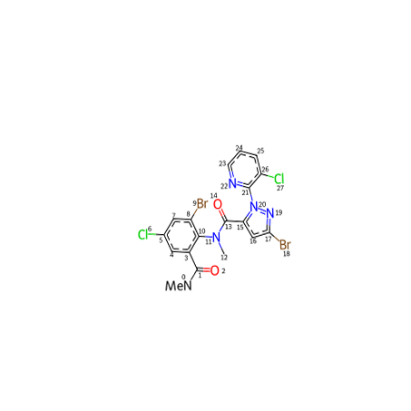 CNC(=O)c1cc(Cl)cc(Br)c1N(C)C(=O)c1cc(Br)nn1-c1ncccc1Cl